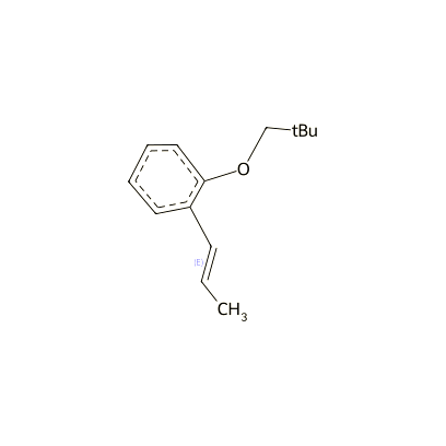 C/C=C/c1ccccc1OCC(C)(C)C